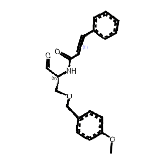 COc1ccc(COC[C@@H](C=O)NC(=O)/C=C/c2ccccc2)cc1